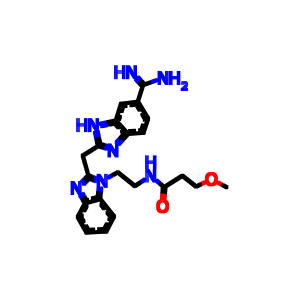 COCCC(=O)NCCn1c(Cc2nc3ccc(C(=N)N)cc3[nH]2)nc2ccccc21